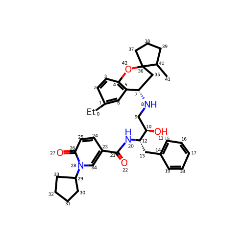 CCc1ccc2c(c1)[C@@H](NC[C@@H](O)[C@H](Cc1ccccc1)NC(=O)c1ccc(=O)n(C3CCCC3)c1)CC1(CCCC1C)O2